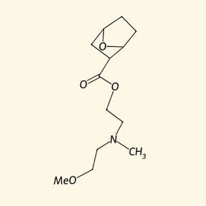 COCCN(C)CCOC(=O)C1CC2CCC1O2